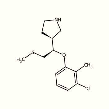 CSC[C@H](Oc1cccc(Cl)c1C)[C@H]1CCNC1